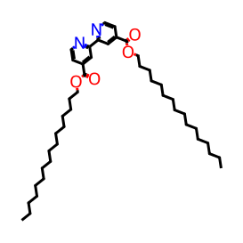 CCCCCCCCCCCCCCCCOC(=O)c1ccnc(-c2cc(C(=O)OCCCCCCCCCCCCCCCC)ccn2)c1